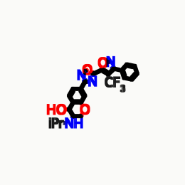 CC(C)NC1COc2cc(-c3noc(-c4onc(-c5ccccc5)c4C(F)(F)F)n3)ccc2C1O